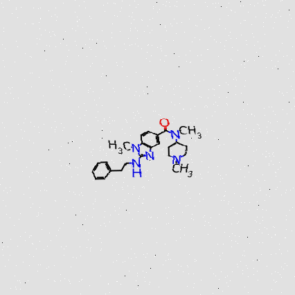 CN1CCC(N(C)C(=O)c2ccc3c(c2)nc(NCCc2ccccc2)n3C)CC1